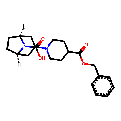 O=C(OCc1ccccc1)C1CCN(C2C[C@H]3CC[C@@H](C2)N3C(=O)O)CC1